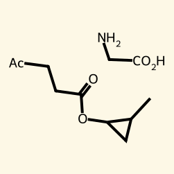 CC(=O)CCC(=O)OC1CC1C.NCC(=O)O